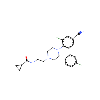 N#Cc1ccc(N2CCN(CCNC(=O)C3CC3)C[C@H]2c2ccc(Cl)cc2)c(Cl)c1